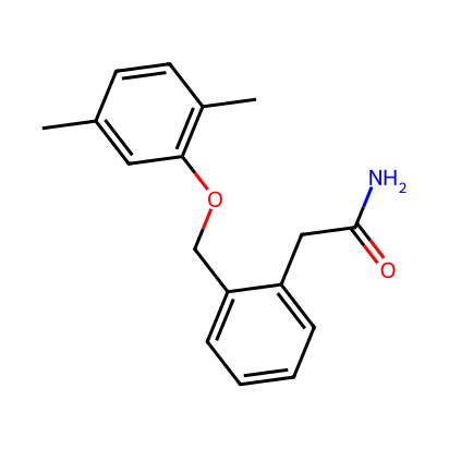 Cc1ccc(C)c(OCc2ccccc2CC(N)=O)c1